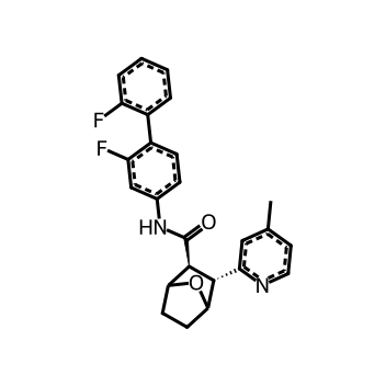 Cc1ccnc([C@@H]2C3CCC(O3)[C@H]2C(=O)Nc2ccc(-c3ccccc3F)c(F)c2)c1